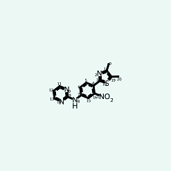 Cc1nc(-c2ccc(Nc3ncccn3)cc2[N+](=O)[O-])sc1C